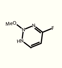 CON1N=C(F)C=[C]N1